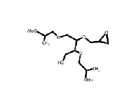 COC(C)COCC(OCC1CO1)C(CO)OCC(C)OC